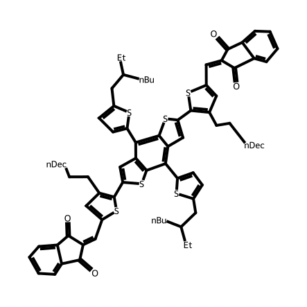 CCCCCCCCCCCCc1cc(C=C2C(=O)c3ccccc3C2=O)sc1-c1cc2c(-c3ccc(CC(CC)CCCC)s3)c3sc(-c4sc(C=C5C(=O)c6ccccc6C5=O)cc4CCCCCCCCCCCC)cc3c(-c3ccc(CC(CC)CCCC)s3)c2s1